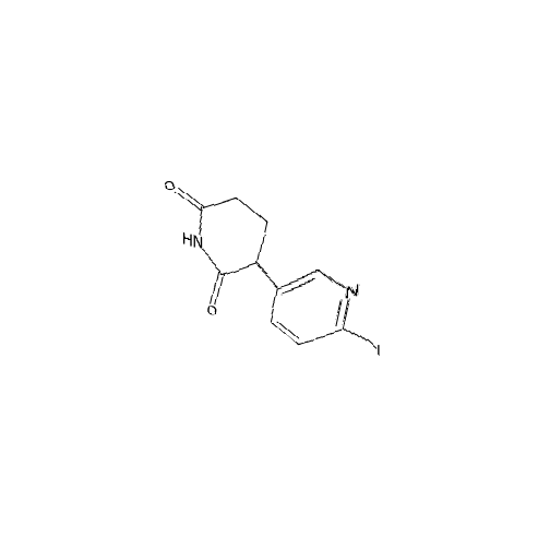 O=C1CCC(c2ccc(I)nc2)C(=O)N1